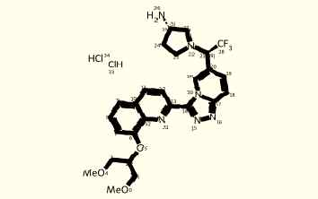 COCC(COC)Oc1cccc2ccc(-c3nnc4ccc([C@@H](N5CC[C@H](N)C5)C(F)(F)F)cn34)nc12.Cl.Cl